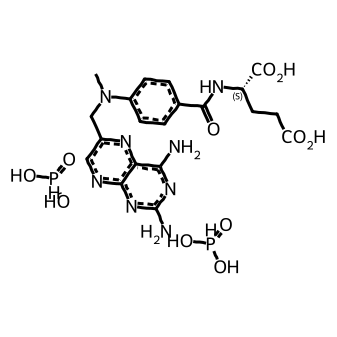 CN(Cc1cnc2nc(N)nc(N)c2n1)c1ccc(C(=O)N[C@@H](CCC(=O)O)C(=O)O)cc1.O=[PH](O)O.O=[PH](O)O